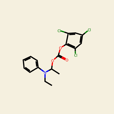 CCN(c1ccccc1)C(C)OC(=O)Oc1c(Cl)cc(Cl)cc1Cl